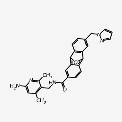 Cc1cc(N)nc(C)c1CNC(=O)c1ccc2c(c1)c1oc2c2cc(Cn3cccn3)ccc21